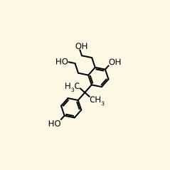 CC(C)(c1ccc(O)cc1)c1ccc(O)c(CCO)c1CCO